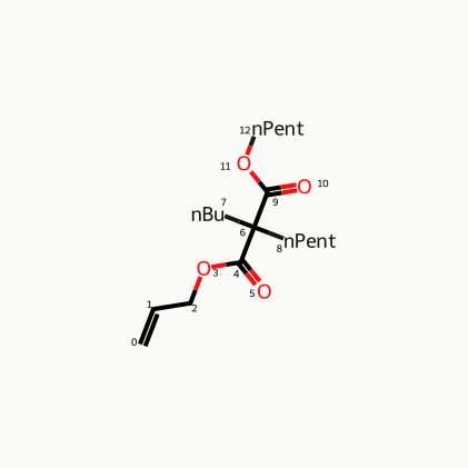 C=CCOC(=O)C(CCCC)(CCCCC)C(=O)OCCCCC